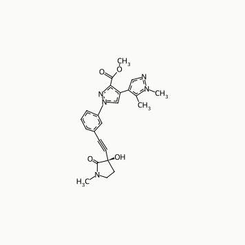 COC(=O)c1nn(-c2cccc(C#C[C@]3(O)CCN(C)C3=O)c2)cc1-c1cnn(C)c1C